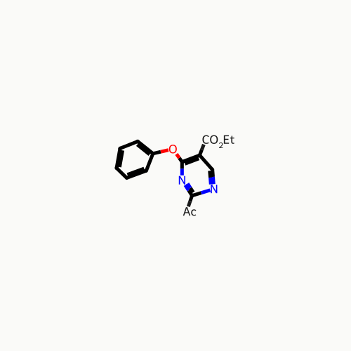 CCOC(=O)c1cnc(C(C)=O)nc1Oc1ccccc1